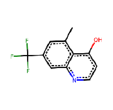 Cc1cc(C(F)(F)F)cc2nccc(O)c12